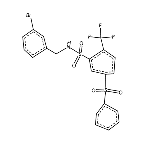 O=S(=O)(NCc1cccc(Br)c1)c1cc(S(=O)(=O)c2ccccc2)ccc1C(F)(F)F